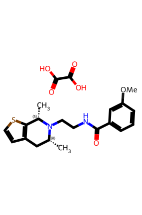 COc1cccc(C(=O)NCCN2[C@H](C)Cc3ccsc3[C@@H]2C)c1.O=C(O)C(=O)O